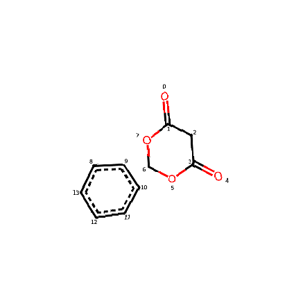 O=C1CC(=O)OCO1.c1ccccc1